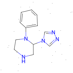 c1ccc(N2CCNCC2n2cnnc2)cc1